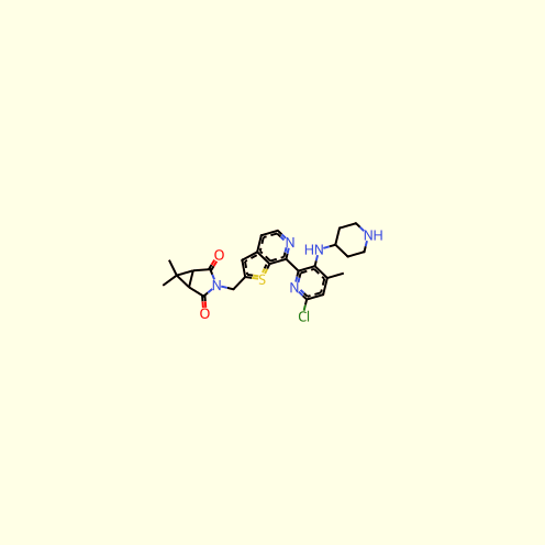 Cc1cc(Cl)nc(-c2nccc3cc(CN4C(=O)C5C(C4=O)C5(C)C)sc23)c1NC1CCNCC1